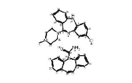 CN1CCN(C2=Nc3cc(Cl)ccc3Nc3ccccc32)CC1.NC(=O)N1c2ccccc2C=Cc2ccccc21